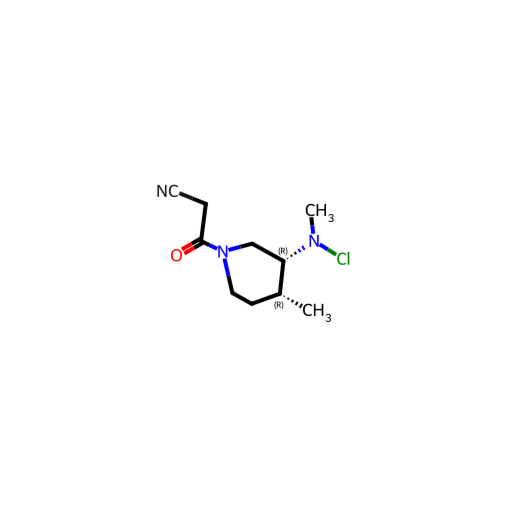 C[C@@H]1CCN(C(=O)CC#N)C[C@@H]1N(C)Cl